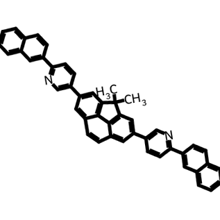 CC1(C)c2cc(-c3ccc(-c4ccc5ccccc5c4)nc3)cc3ccc4cc(-c5ccc(-c6ccc7ccccc7c6)nc5)cc1c4c23